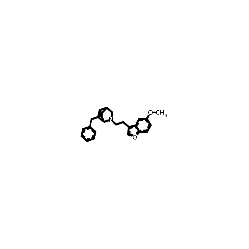 COc1ccc2occ(CCN3CC4C=CC3C(Cc3ccccc3)C4)c2c1